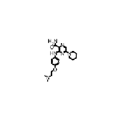 CN(C)CCOc1ccc(Nc2nc(N3CCCCC3)cnc2C(N)=O)cc1